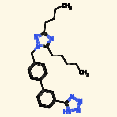 CCCCCc1nc(CCCC)nn1Cc1ccc(-c2cccc(-c3nnn[nH]3)c2)cc1